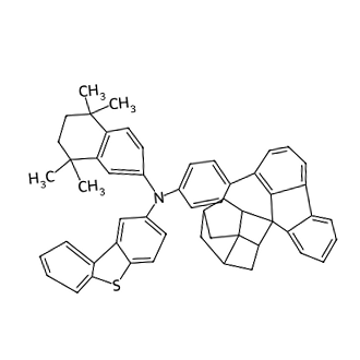 CC1(C)CCC(C)(C)c2cc(N(c3ccc(-c4cccc5c4C4(c6ccccc6-5)C5CC6CC7CC4C75C6)cc3)c3ccc4sc5ccccc5c4c3)ccc21